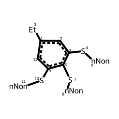 [CH2]Cc1cc(SCCCCCCCCC)c(SCCCCCCCCC)c(SCCCCCCCCC)c1